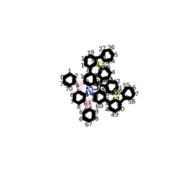 c1ccc(B2c3cccc4c3N3c5c2cc(-c2cccc6c2sc2ccccc26)cc5[Si](c2ccccc2)(c2ccccc2)c2cc(-c5cccc6c5sc5ccccc56)cc(c23)B4c2ccccc2)cc1